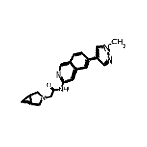 Cn1cc(-c2ccc3cnc(NC(=O)CN4CC5CC5C4)cc3c2)cn1